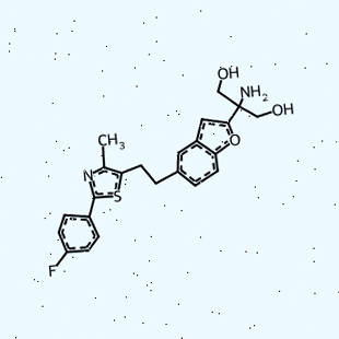 Cc1nc(-c2ccc(F)cc2)sc1CCc1ccc2oc(C(N)(CO)CO)cc2c1